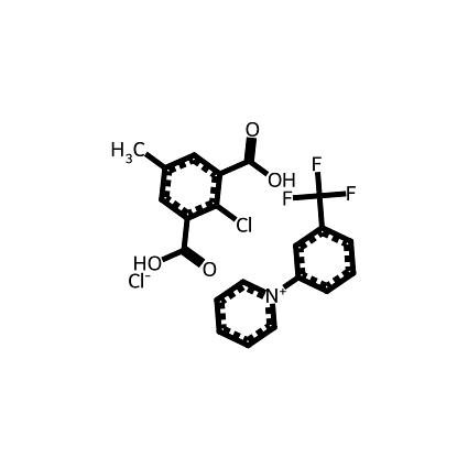 Cc1cc(C(=O)O)c(Cl)c(C(=O)O)c1.FC(F)(F)c1cccc(-[n+]2ccccc2)c1.[Cl-]